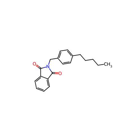 CCCCCc1ccc(CN2C(=O)c3ccccc3C2=O)cc1